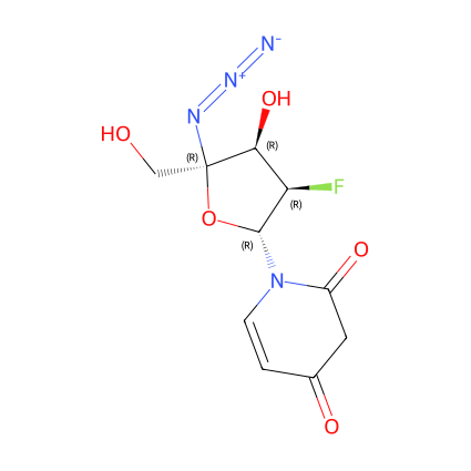 [N-]=[N+]=N[C@]1(CO)O[C@@H](N2C=CC(=O)CC2=O)[C@H](F)[C@@H]1O